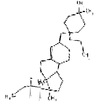 CCCC1(CC2C=C3CCC4(C)C(CC[C@@]4(C)C(F)(F)C(F)(F)CC)C3CC2)CCC(C)(C)CC1